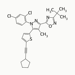 Cc1c(-c2nc(C(C)(C)C)no2)nn(-c2ccc(Cl)cc2Cl)c1-c1ccc(C#CC2CCCC2)s1